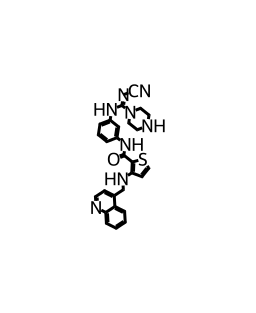 N#C/N=C(/Nc1cccc(NC(=O)c2sccc2NCc2ccnc3ccccc23)c1)N1CCNCC1